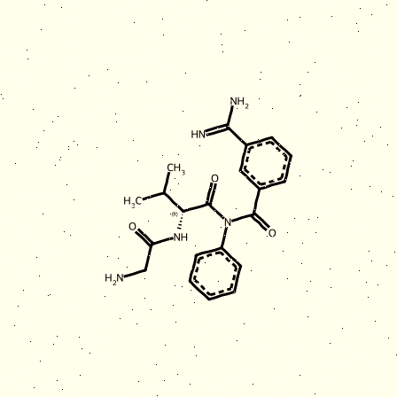 CC(C)[C@@H](NC(=O)CN)C(=O)N(C(=O)c1cccc(C(=N)N)c1)c1ccccc1